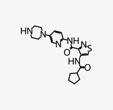 O=C(Nc1ccc(N2CCNCC2)cn1)c1nscc1NC(=O)C1CCCC1